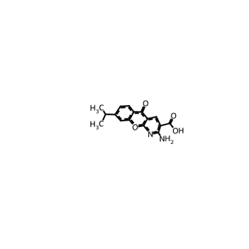 CC(C)c1ccc2c(=O)c3cc(C(=O)O)c(N)nc3oc2c1